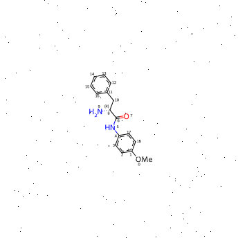 COc1ccc(NC(=O)[C@H](N)Cc2ccccc2)cc1